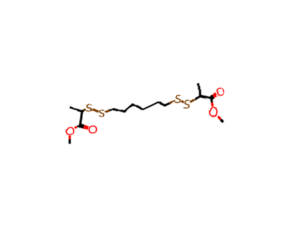 COC(=O)C(C)SSCCCCCCSSC(C)C(=O)OC